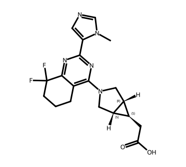 Cn1cncc1-c1nc(N2C[C@@H]3[C@@H](CC(=O)O)[C@@H]3C2)c2c(n1)C(F)(F)CCC2